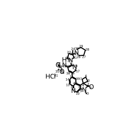 CN1C(=O)C2(CCC2)c2c1cnc1ccc(-c3cnc(N4CCC(C)(N5CCCCC5)C4)c(NS(C)(=O)=O)c3)cc21.Cl